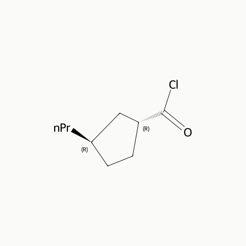 CCC[C@@H]1CC[C@@H](C(=O)Cl)C1